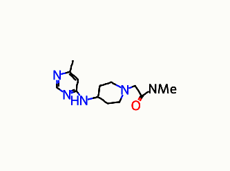 CNC(=O)CN1CCC(Nc2cc(C)ncn2)CC1